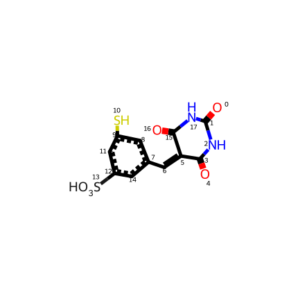 O=C1NC(=O)C(=Cc2cc(S)cc(S(=O)(=O)O)c2)C(=O)N1